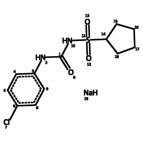 O=C(Nc1ccc(Cl)cc1)NS(=O)(=O)C1CCCC1.[NaH]